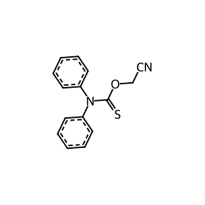 N#CCOC(=S)N(c1ccccc1)c1ccccc1